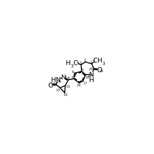 CC1CC(C)c2cc(C3=NNC(=O)C4CC34)ccc2NC1=O